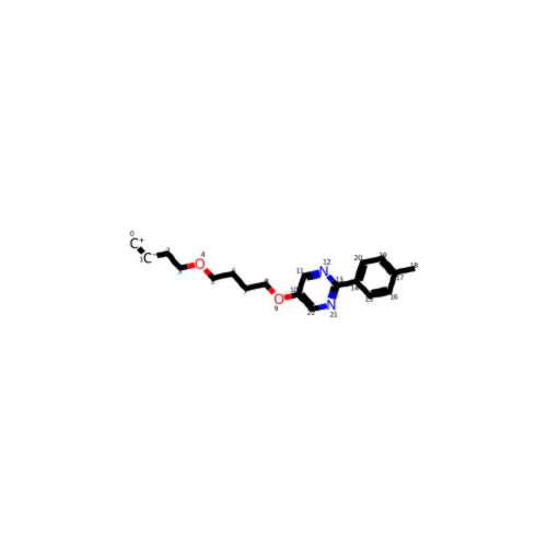 [CH2+][CH-]CCOCCCCOc1cnc(-c2ccc(C)cc2)nc1